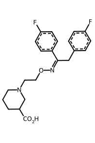 O=C(O)C1CCCN(CCON=C(Cc2ccc(F)cc2)c2ccc(F)cc2)C1